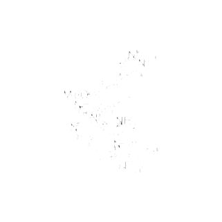 COc1cc(-c2cnn(C)c2)ccc1N1C(N)=NC=C2C=CN(CC(C)(F)F)C(N)=C21